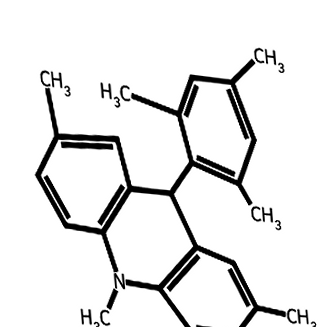 Cc1cc(C)c(C2c3cc(C)ccc3N(C)c3ccc(C)cc32)c(C)c1